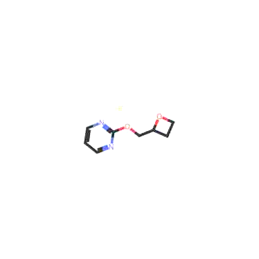 F.c1cnc(OCC2CCO2)nc1